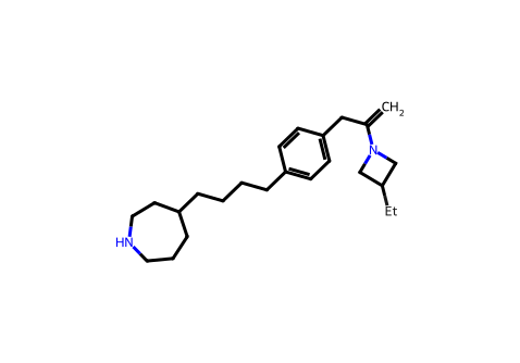 C=C(Cc1ccc(CCCCC2CCCNCC2)cc1)N1CC(CC)C1